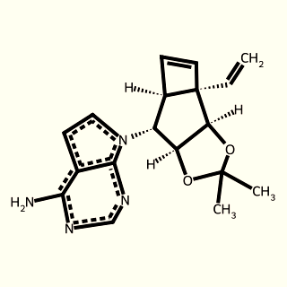 C=C[C@@]12C=C[C@@H]1[C@@H](n1ccc3c(N)ncnc31)[C@@H]1OC(C)(C)O[C@@H]12